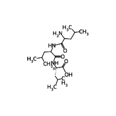 CC(C)CC(N)C(=O)NC(CC(C)C)C(=O)N[C@@H](CC(C)C)C(=O)O